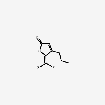 CCCC1=CC(=O)OC1=C(Br)Br